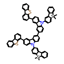 C[Si]1(C)c2ccccc2-c2cc(-n3c4ccc(-c5ccc6c(c5)c5cc(-c7cccc8c7sc7ccccc78)ccc5n6-c5ccc6c(c5)-c5ccccc5[Si]6(C)C)cc4c4cc(-c5cccc6c5sc5ccccc56)ccc43)ccc21